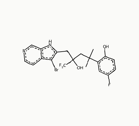 CC(C)(CC(O)(Cc1[nH]c2cnccc2c1Br)C(F)(F)F)c1cc(F)ccc1O